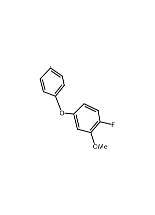 COc1cc(Oc2cc[c]cc2)ccc1F